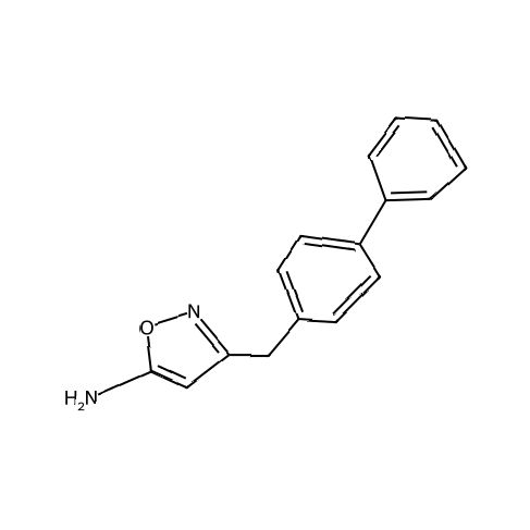 Nc1cc(Cc2ccc(-c3ccccc3)cc2)no1